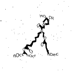 CCCCCCCCCCCCCC(=O)OCCN(CCCCCCCC(=O)OC(CCCCCCCC)CCCCCCCC)C(=O)CN1C[C@@H](O)[C@@H](O)C1